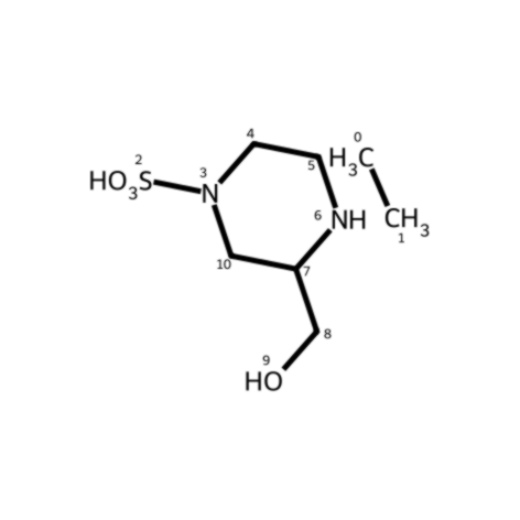 CC.O=S(=O)(O)N1CCNC(CO)C1